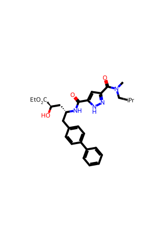 CCOC(=O)[C@H](O)C[C@@H](Cc1ccc(-c2ccccc2)cc1)NC(=O)c1cc(C(=O)N(C)CC(C)C)n[nH]1